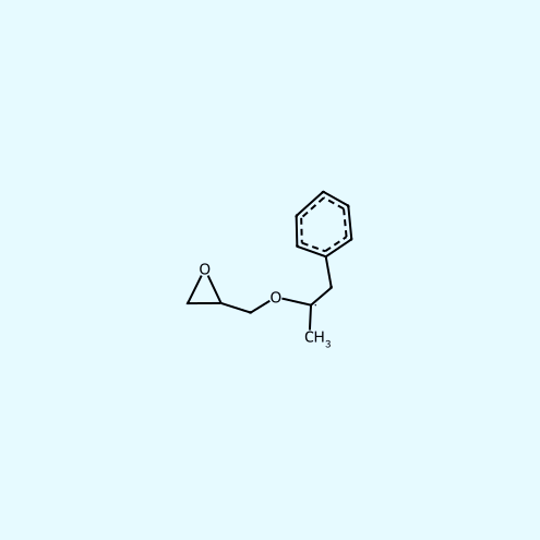 C[C](Cc1ccccc1)OCC1CO1